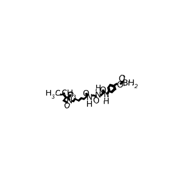 BC(=O)OCc1ccc(NC(=O)CNC(=O)CNC(=O)CCCCCN2C(=O)CC(C(C)CC)C2=O)cc1